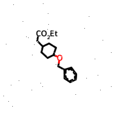 CCOC(=O)CC1CCC(OCc2ccccc2)CC1